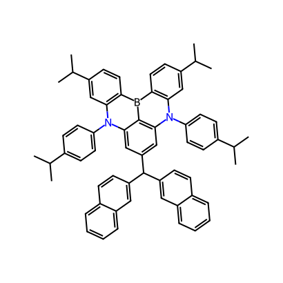 CC(C)c1ccc(N2c3cc(C(C)C)ccc3B3c4ccc(C(C)C)cc4N(c4ccc(C(C)C)cc4)c4cc(C(c5ccc6ccccc6c5)c5ccc6ccccc6c5)cc2c43)cc1